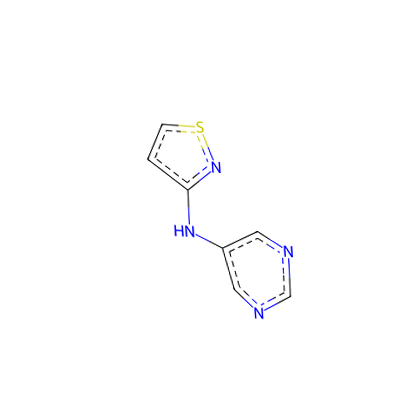 c1ncc(Nc2ccsn2)cn1